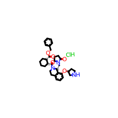 Cl.O=C(OCc1ccccc1)[C@H]1CCCC[C@H]1C(=O)N1CCc2cccc(O[C@H]3CCNC3)c2[C@H]1CN1CCCC1=O